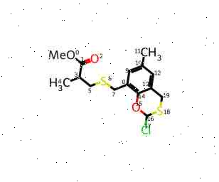 COC(=O)C(C)CSCc1cc(C)cc2c1OC(Cl)SC2